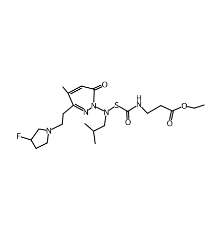 CCOC(=O)CCNC(=O)SN(CC(C)C)n1nc(CCN2CCC(F)C2)c(C)cc1=O